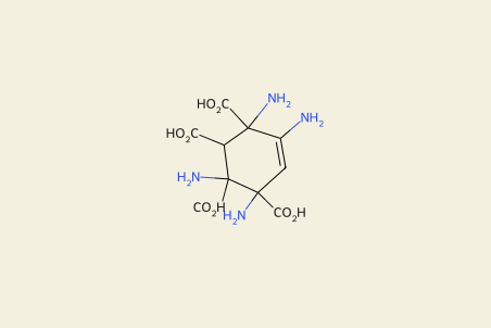 NC1=CC(N)(C(=O)O)C(N)(C(=O)O)C(C(=O)O)C1(N)C(=O)O